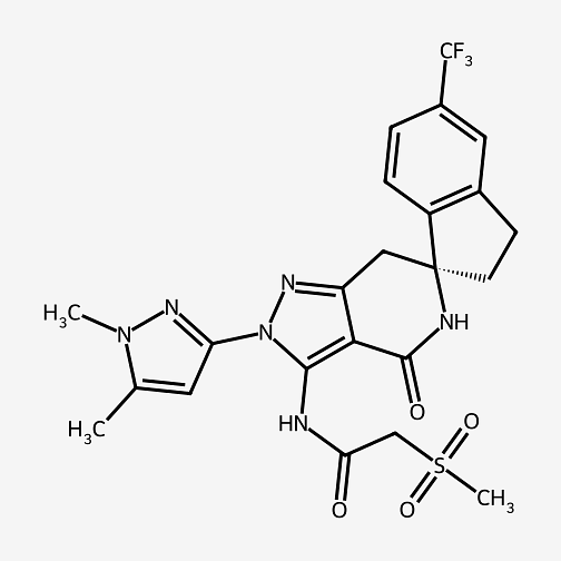 Cc1cc(-n2nc3c(c2NC(=O)CS(C)(=O)=O)C(=O)N[C@@]2(CCc4cc(C(F)(F)F)ccc42)C3)nn1C